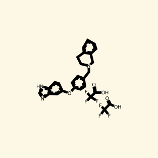 O=C(O)C(F)(F)F.O=C(O)C(F)(F)F.c1ccc2c(c1)CCN(Cc1ccc(Oc3ccc4[nH]cnc4c3)cc1)C2